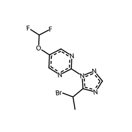 CC(Br)c1ncnn1-c1ncc(OC(F)F)cn1